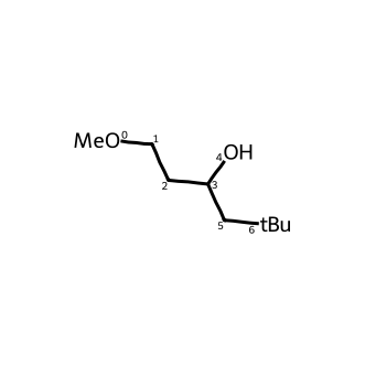 COCCC(O)CC(C)(C)C